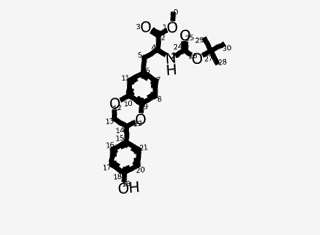 COC(=O)C(Cc1ccc2c(c1)OCC(c1ccc(O)cc1)O2)NC(=O)OC(C)(C)C